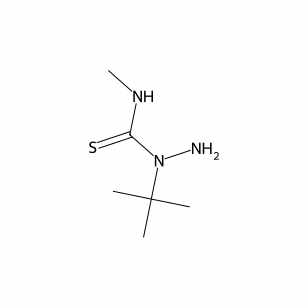 CNC(=S)N(N)C(C)(C)C